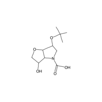 CC(C)(C)OC1CN(C(=O)O)C2C(O)COC12